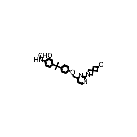 CC(C)(c1ccc(NC=O)cc1)c1ccc(OCc2ccnc(N3CC4(CC(=O)C4)C3)n2)cc1